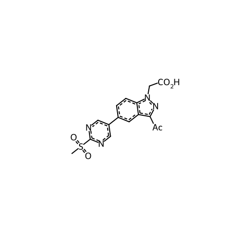 CC(=O)c1nn(CC(=O)O)c2ccc(-c3cnc(S(C)(=O)=O)nc3)cc12